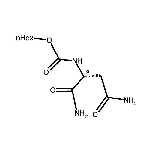 CCCCCCOC(=O)N[C@H](CC(N)=O)C(N)=O